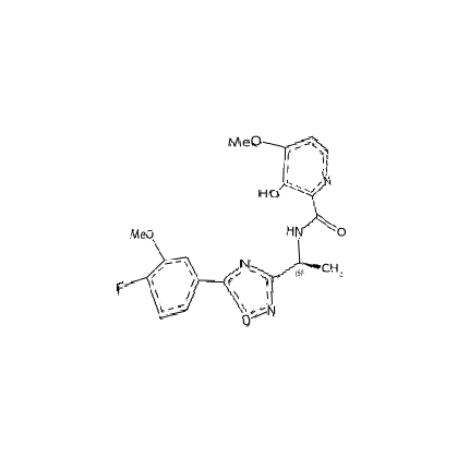 COc1cc(-c2nc([C@H](C)NC(=O)c3nccc(OC)c3O)no2)ccc1F